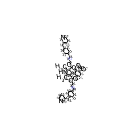 CC1=C(C(=O)OC/C=C/c2ccc(Cc3cccnc3)cc2)C(c2cccc([N+](=O)[O-])c2)C(C(=O)OC/C=C/c2ccc(Cc3cccnc3)cc2)=C(C)N1